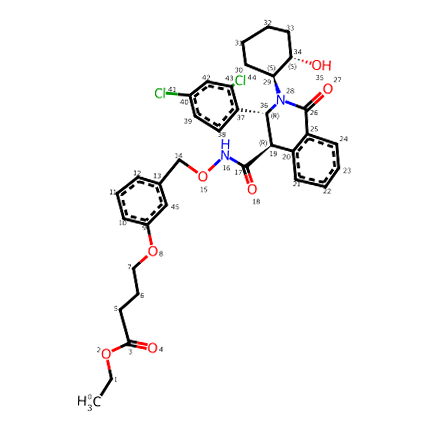 CCOC(=O)CCCOc1cccc(CONC(=O)[C@@H]2c3ccccc3C(=O)N([C@H]3CCCC[C@@H]3O)[C@H]2c2ccc(Cl)cc2Cl)c1